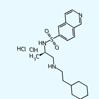 C[C@H](CNCCC1CCCCC1)NS(=O)(=O)c1ccc2cnccc2c1.Cl.Cl